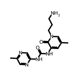 Cc1cc(NC(=O)Nc2cnc(C)cn2)c(=O)n(CCCN)c1